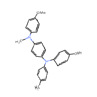 COc1ccc(N(C)c2ccc(N(c3ccc(C)cc3)c3ccc(OC)cc3)cc2)cc1